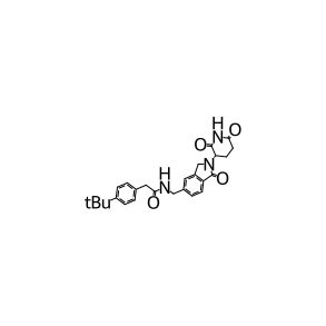 CC(C)(C)c1ccc(CC(=O)NCc2ccc3c(c2)CN(C2CCC(=O)NC2=O)C3=O)cc1